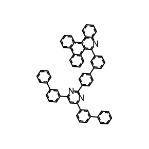 c1ccc(-c2cccc(-c3cc(-c4cccc(-c5ccccc5)c4)nc(-c4ccc(-c5cccc(-c6nc7ccccc7c7c8ccccc8c8ccccc8c67)c5)cc4)n3)c2)cc1